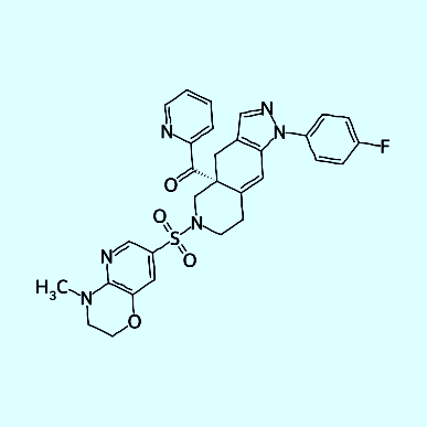 CN1CCOc2cc(S(=O)(=O)N3CCC4=Cc5c(cnn5-c5ccc(F)cc5)C[C@]4(C(=O)c4ccccn4)C3)cnc21